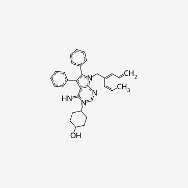 C=C/C=C(\C=C/C)Cn1c(-c2ccccc2)c(-c2ccccc2)c2c(=N)n(C3CCC(O)CC3)cnc21